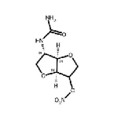 NC(=O)N[C@H]1CO[C@@H]2C(O[N+](=O)[O-])CO[C@H]12